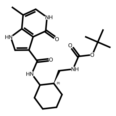 Cc1c[nH]c(=O)c2c(C(=O)NC3CCCC[C@@H]3CNC(=O)OC(C)(C)C)c[nH]c12